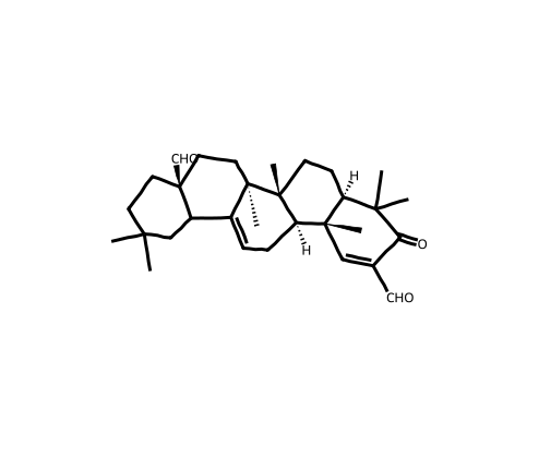 CC1(C)CC[C@]2(C=O)CC[C@]3(C)C(=CC[C@@H]4[C@@]5(C)C=C(C=O)C(=O)C(C)(C)[C@@H]5CC[C@]43C)C2C1